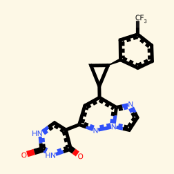 O=c1[nH]cc(-c2cc(C3C[C@H]3c3cccc(C(F)(F)F)c3)c3nccn3n2)c(=O)[nH]1